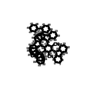 N#Cc1c(-n2c3ccccc3c3ccccc32)c(C#N)c(-n2c3ccccc3c3ccccc32)c(-n2c3cc(-c4ccccc4-c4ccccc4)ccc3c3ccc4oc5ccccc5c4c32)c1-n1c2ccccc2c2ccccc21